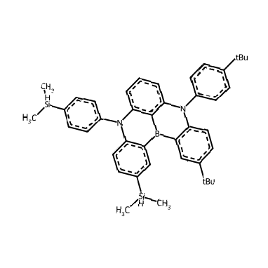 C[SiH](C)c1ccc(N2c3ccc([SiH](C)C)cc3B3c4cc(C(C)(C)C)ccc4N(c4ccc(C(C)(C)C)cc4)c4cccc2c43)cc1